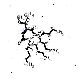 CCC[CH2][SnH]([CH2]CCC)[O]C(=O)/C=C(\C(=O)[O][SnH]([CH2]CCC)[CH2]CCC)C(OC)OC